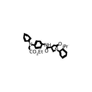 CCOC(=O)CN(c1ccccc1)c1ccc(NC(=O)C2CC(=O)N(c3ccccc3C(C)C)C2)cc1